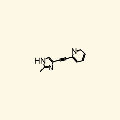 Cc1nc(C#Cc2ccccn2)c[nH]1